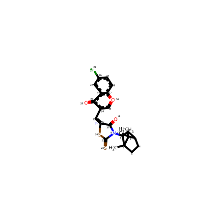 CC1(C)C2CCC1(C)C(N1C(=O)/C(=C\c3coc4ccc(Br)cc4c3=O)SC1=S)C2